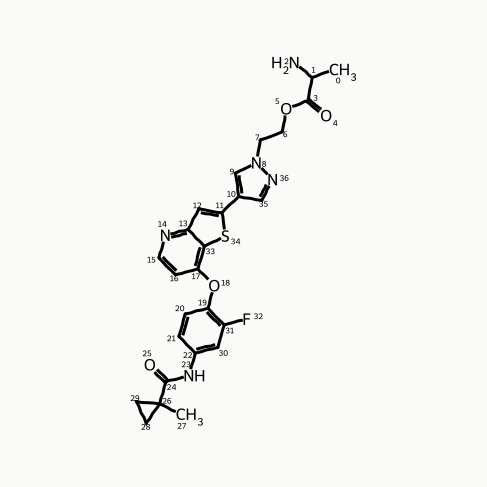 CC(N)C(=O)OCCn1cc(-c2cc3nccc(Oc4ccc(NC(=O)C5(C)CC5)cc4F)c3s2)cn1